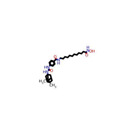 C[C@]12CC3CC(NC(=O)Nc4ccc(C(=O)NCCCCCCCCCCCC(=O)NO)cc4)(C1)C[C@@](C)(C3)C2